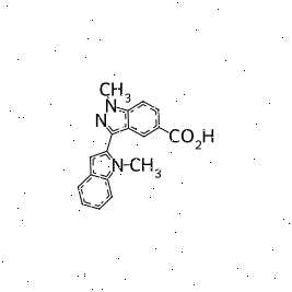 Cn1nc(-c2cc3ccccc3n2C)c2cc(C(=O)O)ccc21